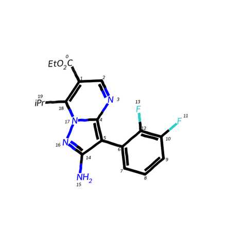 CCOC(=O)c1cnc2c(-c3cccc(F)c3F)c(N)nn2c1C(C)C